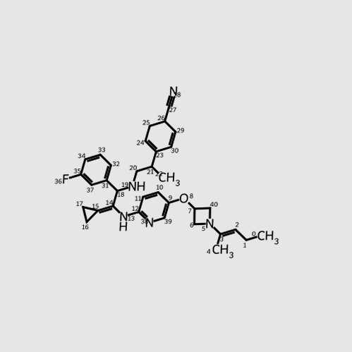 CC/C=C(\C)N1CC(Oc2ccc(NC(=C3CC3)C(NCC(C)C3=CCC(C#N)C=C3)c3cccc(F)c3)nc2)C1